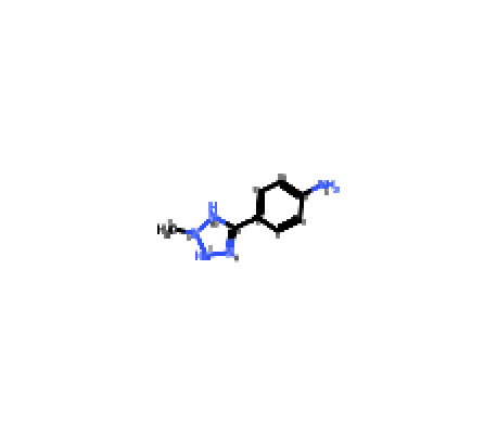 CN1NN=C(c2ccc(N)cc2)N1